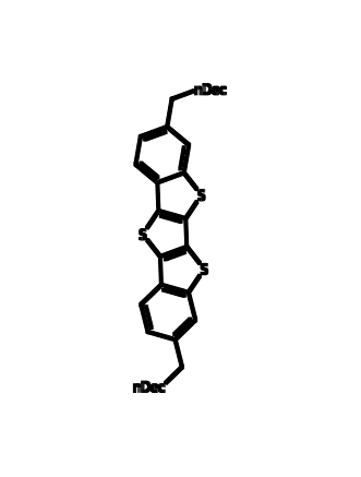 CCCCCCCCCCCc1ccc2c(c1)sc1c2sc2c3ccc(CCCCCCCCCCC)cc3sc21